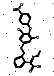 CON=C(C(=O)O)c1ccccc1COc1cc(Cl)c(Oc2ccc([N+](=O)[O-])cc2)c(Cl)c1